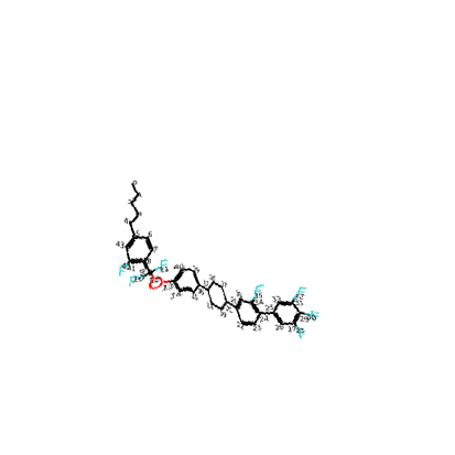 CCCCCc1ccc(C(F)(F)Oc2ccc(C3CCC(c4ccc(-c5cc(F)c(F)c(F)c5)c(F)c4)CC3)cc2)c(F)c1